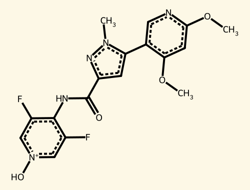 COc1cc(OC)c(-c2cc(C(=O)Nc3c(F)c[n+](O)cc3F)nn2C)cn1